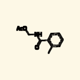 CC(=O)OCNC(=O)c1ccccc1C